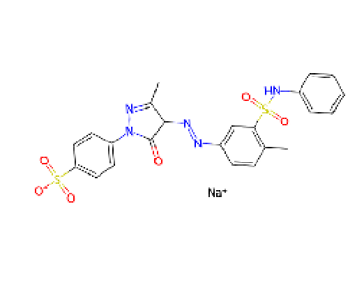 CC1=NN(c2ccc(S(=O)(=O)[O-])cc2)C(=O)C1N=Nc1ccc(C)c(S(=O)(=O)Nc2ccccc2)c1.[Na+]